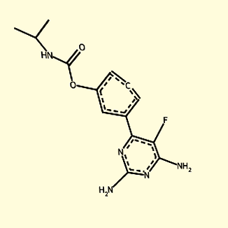 CC(C)NC(=O)Oc1cccc(-c2nc(N)nc(N)c2F)c1